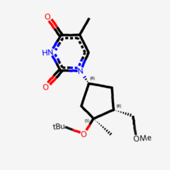 COC[C@H]1C[C@@H](n2cc(C)c(=O)[nH]c2=O)C[C@]1(C)OC(C)(C)C